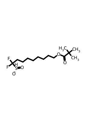 CC(C)(C)C(=O)OCCCCCCCCC(F)(F)[SH](=O)=O